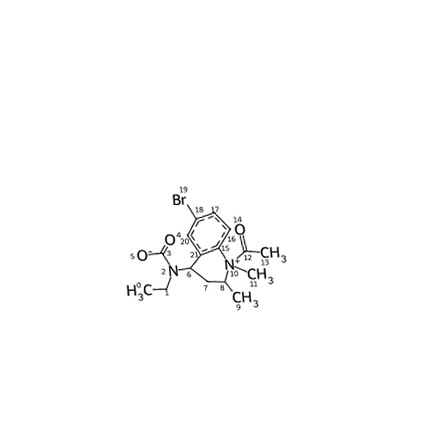 CCN(C(=O)[O-])C1CC(C)[N+](C)(C(C)=O)c2ccc(Br)cc21